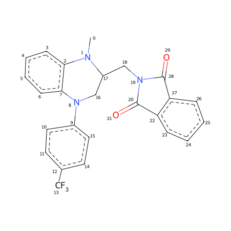 CN1c2ccccc2N(c2ccc(C(F)(F)F)cc2)CC1CN1C(=O)c2ccccc2C1=O